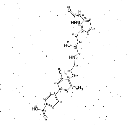 Cc1cc(-c2ccc(C(=O)O)cc2)cc(C)c1OCCNCC(O)COc1cccc2[nH]c(=O)[nH]c12